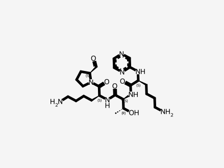 C[C@@H](O)[C@H](NC(=O)[C@H](CCCCN)Nc1cnccn1)C(=O)N[C@@H](CCCCN)C(=O)N1CCC[C@H]1C=O